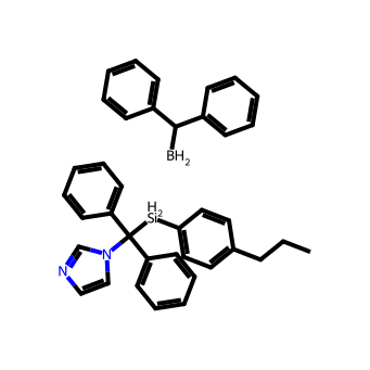 BC(c1ccccc1)c1ccccc1.CCCc1ccc([SiH2]C(c2ccccc2)(c2ccccc2)n2ccnc2)cc1